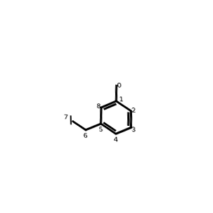 Cc1cccc(CI)c1